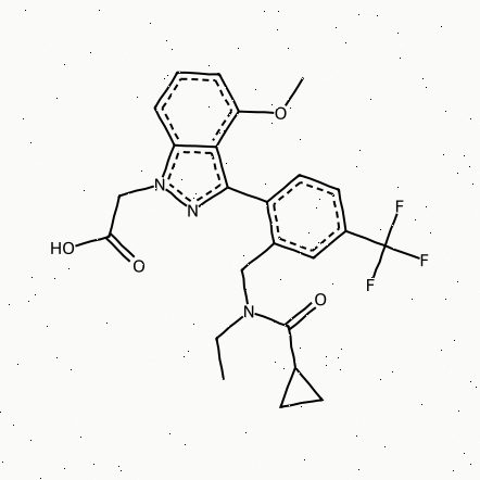 CCN(Cc1cc(C(F)(F)F)ccc1-c1nn(CC(=O)O)c2cccc(OC)c12)C(=O)C1CC1